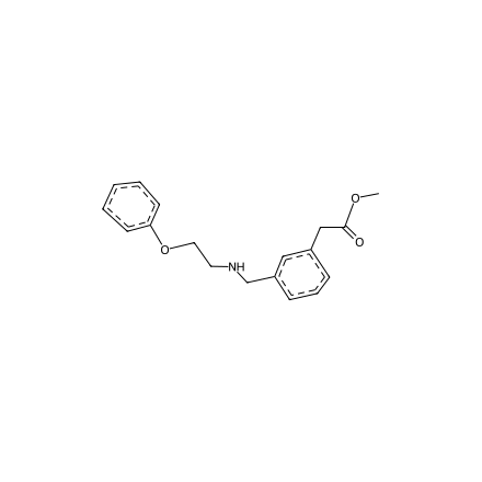 COC(=O)Cc1cccc(CNCCOc2ccccc2)c1